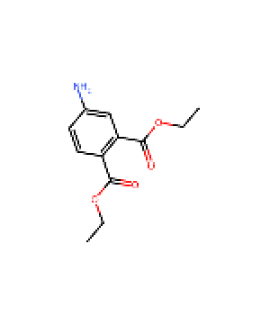 CCOC(=O)c1ccc(N)cc1C(=O)OCC